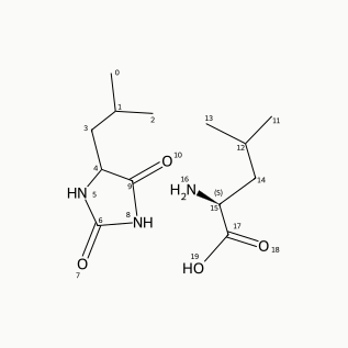 CC(C)CC1NC(=O)NC1=O.CC(C)C[C@H](N)C(=O)O